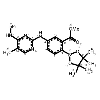 CCCNc1nc(Nc2ccc(B3OC(C)(C)C(C)(C)O3)c(C(=O)OC)c2)ncc1C